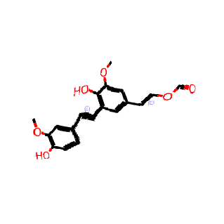 COc1cc(/C=C/c2cc(/C=C/OC=O)cc(OC)c2O)ccc1O